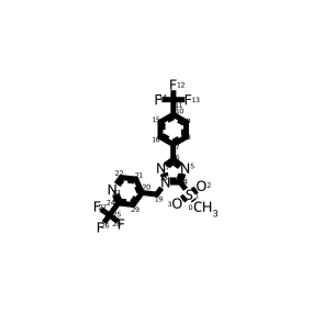 CS(=O)(=O)c1nc(-c2ccc(C(F)(F)F)cc2)nn1Cc1ccnc(C(F)(F)F)c1